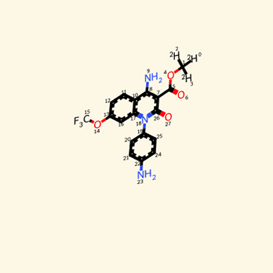 [2H]C([2H])([2H])OC(=O)c1c(N)c2ccc(OC(F)(F)F)cc2n(-c2ccc(N)cc2)c1=O